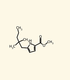 CCCC(C)(C)Cc1ccc(C(=O)OC)[nH]1